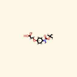 CN(C(=O)OC(C)(C)C)C1CCC(OCCC(=O)O)CC1